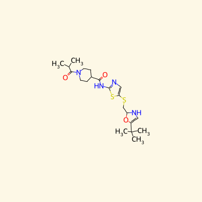 CC(C)C(=O)N1CCC(C(=O)Nc2ncc(SCC3NC=C(C(C)(C)C)O3)s2)CC1